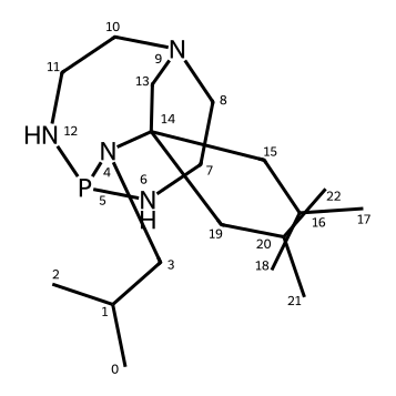 CC(C)CN1P2NCCN(CCN2)CC1(CC(C)C)CC(C)C